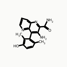 Cc1ccc(O)c(C)c1-c1c(N)c(C(N)=O)nc2cccnc12